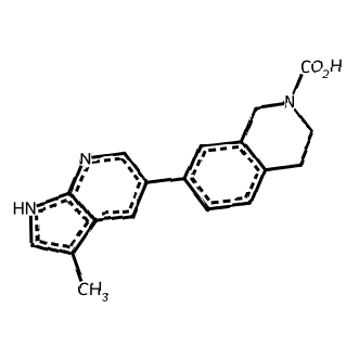 Cc1c[nH]c2ncc(-c3ccc4c(c3)CN(C(=O)O)CC4)cc12